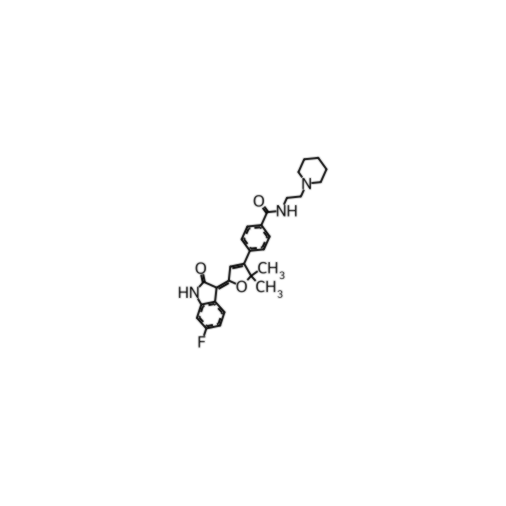 CC1(C)O/C(=C2/C(=O)Nc3cc(F)ccc32)C=C1c1ccc(C(=O)NCCN2CCCCC2)cc1